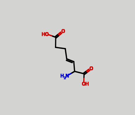 NC(C=CCCC(=O)O)C(=O)O